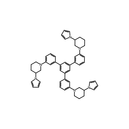 c1cc(-c2cc(-c3cccc(N4CCCC(n5cccc5)C4)c3)cc(-c3cccc(N4CCCC(n5cccc5)C4)c3)c2)cc(N2CCCC(n3cccc3)C2)c1